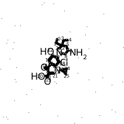 CCC1(CC)C[C@H](N)CN(c2c(O)cc3c(=O)c(C(=O)O)cn(C4CC4)c3c2Cl)C1